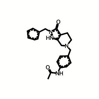 CC(=O)Nc1ccc(CN2CCc3c([nH]n(Cc4ccccc4)c3=O)C2)cc1